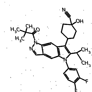 CC(C)c1c(C2CCC(O)(C#N)CC2)c2cc3c(cnn3C(=O)C(C)(C)C)cc2n1-c1ccc(F)c(F)c1